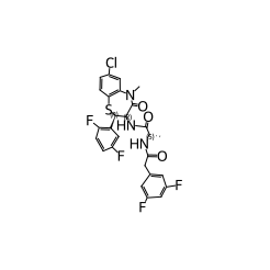 C[C@H](NC(=O)Cc1cc(F)cc(F)c1)C(=O)N[C@@H]1C(=O)N(C)c2cc(Cl)ccc2S[C@@H]1c1cc(F)ccc1F